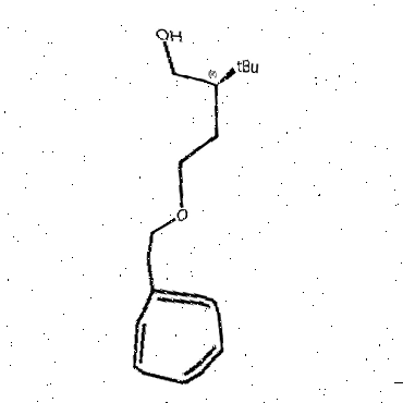 CC(C)(C)[C@H](CO)CCOCc1ccccc1